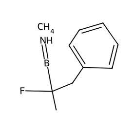 C.CC(F)(B=N)Cc1ccccc1